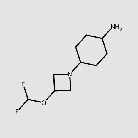 NC1CCC(N2CC(OC(F)F)C2)CC1